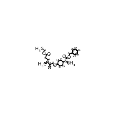 CCOC(=O)CCN(C)C(=O)COC1CCC(N(C)C(=O)OCc2ccccc2)CC1